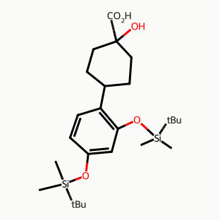 CC(C)(C)[Si](C)(C)Oc1ccc(C2CCC(O)(C(=O)O)CC2)c(O[Si](C)(C)C(C)(C)C)c1